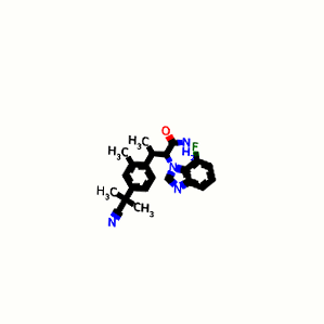 Cc1cc(C(C)(C)C#N)ccc1C(C)C(C(N)=O)n1cnc2cccc(F)c21